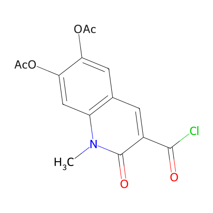 CC(=O)Oc1cc2cc(C(=O)Cl)c(=O)n(C)c2cc1OC(C)=O